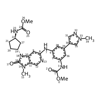 COC(=O)Nc1cc(Nc2cc3c(cn2)n(C)c(=O)n3[C@@H]2CC[C@@H](NC(=O)OC)C2)cc(-c2cnn(C)c2)c1